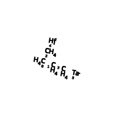 C.C.C.C.[Hf].[Ta]